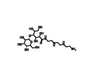 NCCNCCNCCNC(=O)C(O)C(O)C(O[C@@H]1OC(CO)[C@H](O)C(O)C1O)C(O)CO